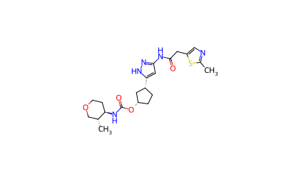 Cc1ncc(CC(=O)Nc2cc([C@@H]3CC[C@H](OC(=O)N[C@@H]4CCOC[C@H]4C)C3)[nH]n2)s1